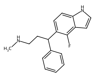 CNCCC(c1ccccc1)c1ccc2[nH]ccc2c1F